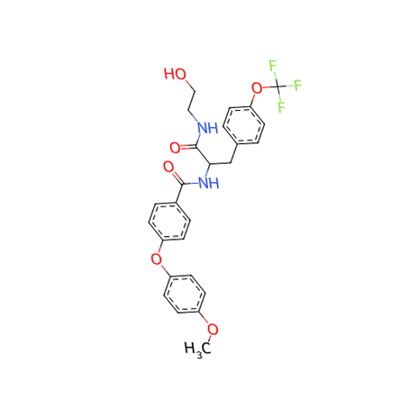 COc1ccc(Oc2ccc(C(=O)NC(Cc3ccc(OC(F)(F)F)cc3)C(=O)NCCO)cc2)cc1